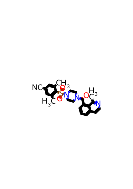 Cc1cc(C#N)cc(C)c1S(=O)(=O)N1CCN(C(=O)c2cccc3ccnc(C)c23)CC1